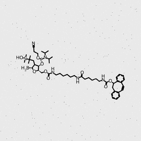 B[C@@H]1O[C@H](COC(=O)NCCCCCCNC(=O)CCCCCNC(=O)OC2Cc3ccccc3C#Cc3ccccc32)[C@H](OP(OCCC#N)N(C(C)C)C(C)C)C1CC(C)(C)[Si](C)(C)O